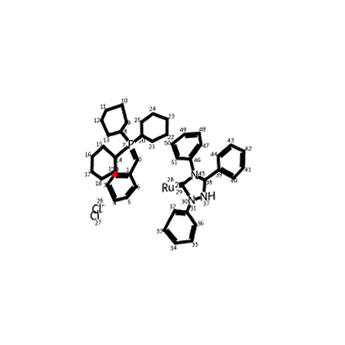 C(c1ccccc1)=P(C1CCCCC1)(C1CCCCC1)C1CCCCC1.[Cl-].[Cl-].[Ru+2]=[C]1N(c2ccccc2)NC(c2ccccc2)N1c1ccccc1